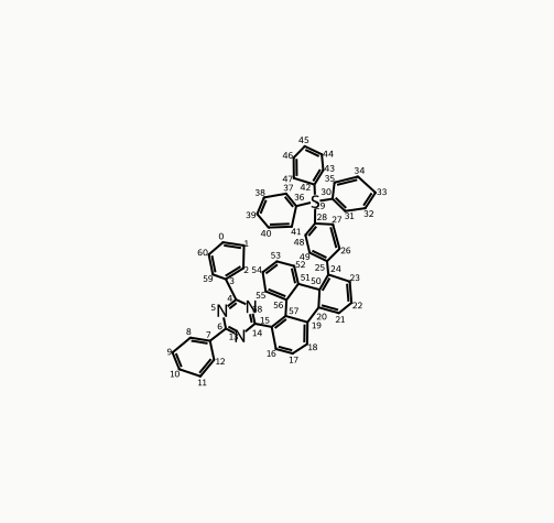 c1ccc(-c2nc(-c3ccccc3)nc(-c3cccc4c5cccc(-c6ccc(S(c7ccccc7)(c7ccccc7)c7ccccc7)cc6)c5c5ccccc5c34)n2)cc1